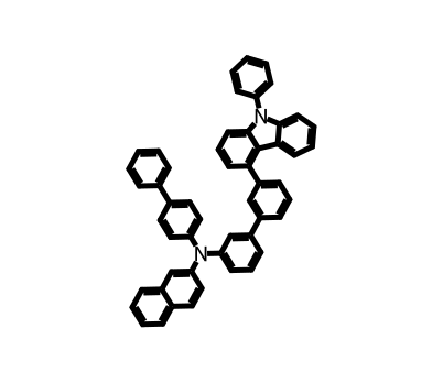 c1ccc(-c2ccc(N(c3cccc(-c4cccc(-c5cccc6c5c5ccccc5n6-c5ccccc5)c4)c3)c3ccc4ccccc4c3)cc2)cc1